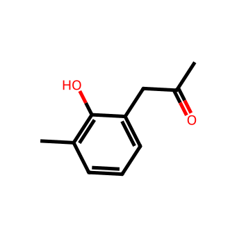 CC(=O)Cc1cccc(C)c1O